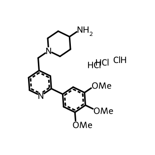 COc1cc(-c2cc(CN3CCC(N)CC3)ccn2)cc(OC)c1OC.Cl.Cl.Cl